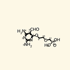 Nc1nc(N)c(C=O)c(OCCOCP(=O)(O)O)n1